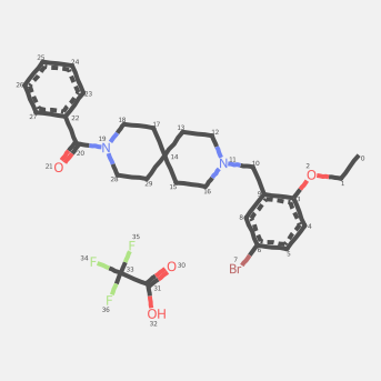 CCOc1ccc(Br)cc1CN1CCC2(CC1)CCN(C(=O)c1ccccc1)CC2.O=C(O)C(F)(F)F